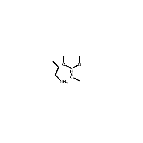 CCCN.CO[SiH](OC)OC